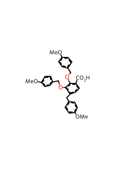 COc1ccc(COc2c(Cc3ccc(OC)cc3)ccc(C(=O)O)c2OCc2ccc(OC)cc2)cc1